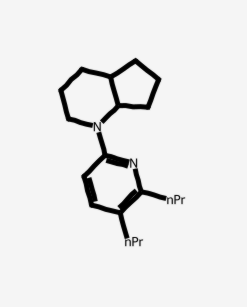 CCCc1ccc(N2CCCC3CCCC32)nc1CCC